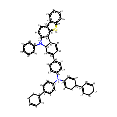 C1=CCCC(c2ccc(N(C3=CCC(C4=CCCC=C4)C=C3)c3ccc(C4=CC5C(C=C4)c4c(ccc6c4sc4ccccc46)N5c4ccccc4)cc3)cc2)=C1